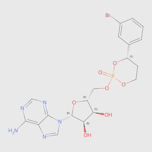 Nc1ncnc2c1ncn2[C@@H]1O[C@H](COP2(=O)OCC[C@@H](c3cccc(Br)c3)O2)[C@@H](O)[C@H]1O